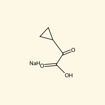 O=C(O)C(=O)C1CC1.[NaH]